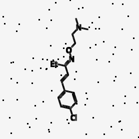 CCC(/C=C/c1ccc(Cl)cc1)=N\OCCN(C)C